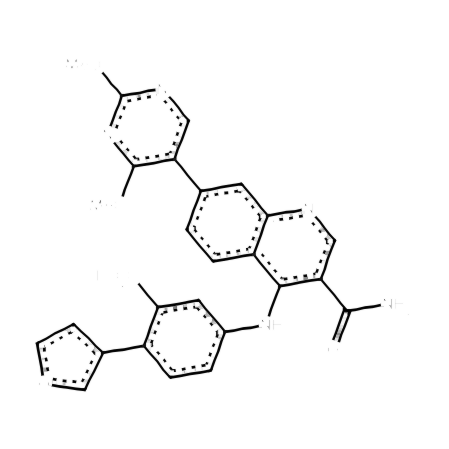 COc1ncc(-c2ccc3c(Nc4ccc(-c5ccoc5)c(C(=O)O)c4)c(C(N)=O)cnc3c2)c(OC)n1